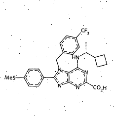 CSc1ccc(-c2nc3nc(C(=O)O)nc(N[C@H](C)C4CCC4)c3n2Cc2ccc(C(F)(F)F)cc2)cc1